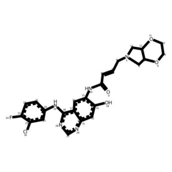 O=C(/C=C/CN1CC2OCCOC2C1)Nc1cc2c(Nc3ccc(F)c(Cl)c3)ncnc2cc1O